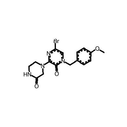 COc1ccc(Cn2cc(Br)nc(N3CCNC(=O)C3)c2=O)cc1